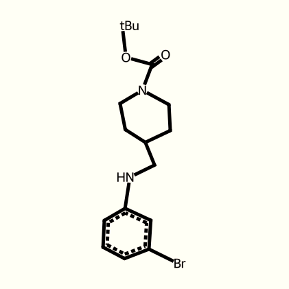 CC(C)(C)OC(=O)N1CCC(CNc2cccc(Br)c2)CC1